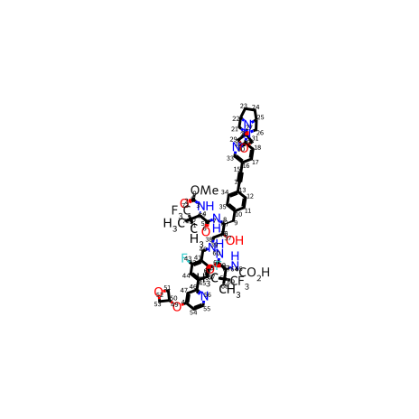 COC(=O)N[C@H](C(=O)N[C@@H](Cc1ccc(C#Cc2ccc(N3CC4CCC(C3)N4C3COC3)nc2)cc1)[C@@H](O)CN(Cc1c(F)cc(-c2cc(OC3COC3)ccn2)cc1F)NC(=O)[C@@H](NC(=O)O)C(C)(C)C(F)(F)F)C(C)(C)C(F)(F)F